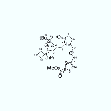 CCCC1(C(CCCN2C(=O)CCC2COCc2ccc(C(=O)OC)s2)O[Si](C)(C)C(C)(C)C)CCC1